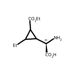 CCOC(=O)C1C(CC)C1[C@@H](N)C(=O)O